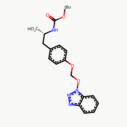 CC(C)(C)OC(=O)N[C@H](Cc1ccc(OCOn2nnc3ccccc32)cc1)C(=O)O